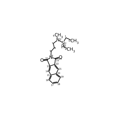 CC[SiH](CC)N(C)CCCN1C(=O)c2cc3ccccc3cc2C1=O